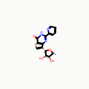 C[C@H]1O[C@@H](c2csc3c(=O)[nH]c(-c4ccccn4)nc23)[C@H](O)[C@@H]1O